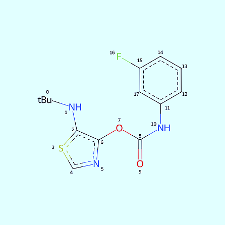 CC(C)(C)Nc1scnc1OC(=O)Nc1cccc(F)c1